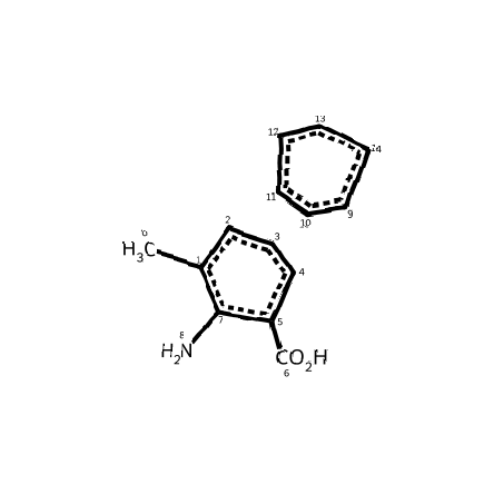 Cc1cccc(C(=O)O)c1N.c1ccccc1